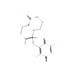 C=C1CCCC2C1(C)CCC(C)C2(C)CC1=C(O)C(=O)C=C(O)C1=O